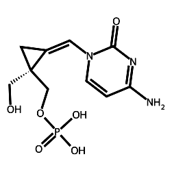 Nc1ccn(/C=C2/C[C@]2(CO)COP(=O)(O)O)c(=O)n1